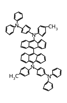 Cc1ccc(N(c2ccc(N(c3ccccc3)c3ccccc3)cc2)c2c3ccccc3c(-c3c4ccccc4c(N(c4ccc(C)cc4)c4ccc(N(c5ccccc5)c5ccccc5)cc4)c4ccccc34)c3ccccc23)cc1